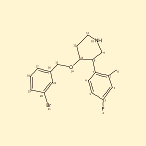 Cc1cc(F)ccc1C1CNCCC1OCc1cccc(Br)c1